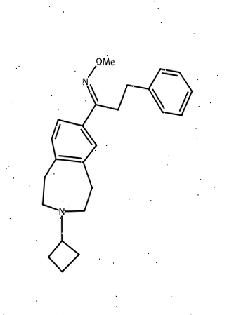 CON=C(CCc1ccccc1)c1ccc2c(c1)CCN(C1CCC1)CC2